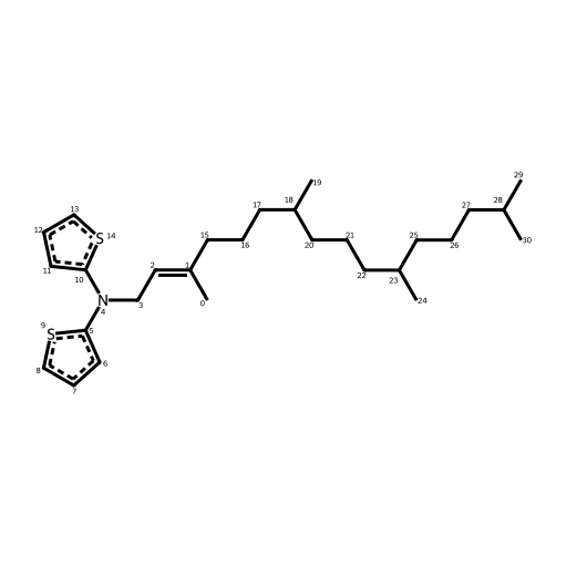 C/C(=C\CN(c1cccs1)c1cccs1)CCCC(C)CCCC(C)CCCC(C)C